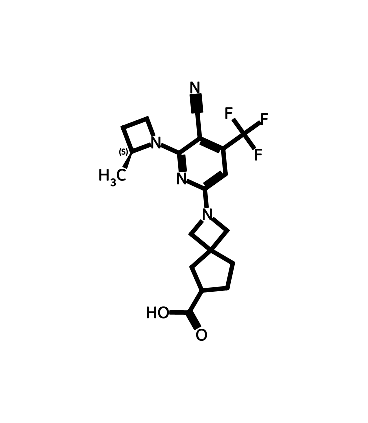 C[C@H]1CCN1c1nc(N2CC3(CCC(C(=O)O)C3)C2)cc(C(F)(F)F)c1C#N